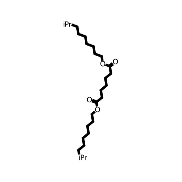 CC(C)CCCCCCCOC(=O)CCCCCC(=O)OCCCCCCCC(C)C